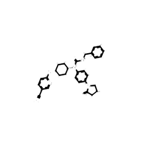 N#Cc1ccc(N[C@H]2CC[C@H](N(C(=O)NCc3ccccc3)c3ccc(N4CCCC4=O)cc3)CC2)nc1